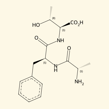 C[C@H](N)C(=O)N[C@@H](Cc1ccccc1)C(=O)N[C@H](C(=O)O)[C@@H](C)O